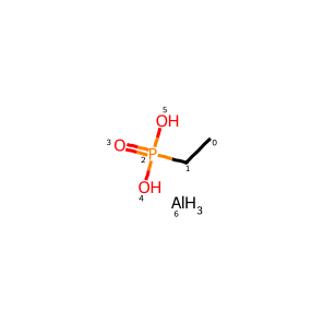 CCP(=O)(O)O.[AlH3]